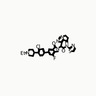 CCN1CCC(c2ccc(-c3cc(F)c4c(c3)C(=O)N(C(C(=O)Nc3nccs3)c3ncn5c3CCC5)C4)cc2Cl)CC1